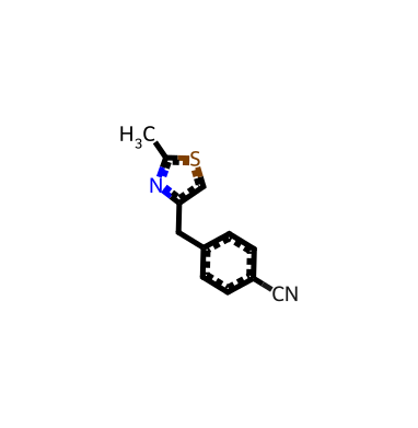 Cc1nc(Cc2ccc(C#N)cc2)cs1